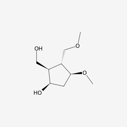 COC[C@H]1[C@H](CO)[C@H](O)C[C@@H]1OC